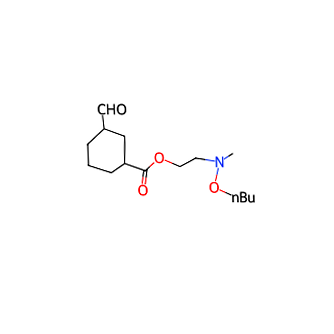 CCCCON(C)CCOC(=O)C1CCCC(C=O)C1